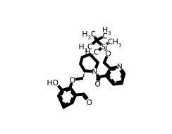 CC(C)(C)[Si](C)(C)OCc1ncccc1C(=O)N1CCCC[C@H]1COc1c(O)cccc1C=O